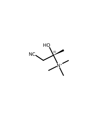 C[C@](O)(CC#N)[N+](C)(C)C